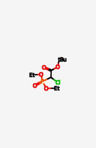 CCOP(=O)(OCC)C(Cl)C(=O)OC(C)(C)C